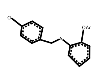 CC(=O)Oc1ccccc1SCc1ccc(Cl)cc1